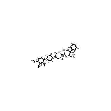 CCc1ccc(-c2ccc(C3CCC(C4CCC(OC)(c5ccccc5)CC4)CC3)cc2)c(F)c1F